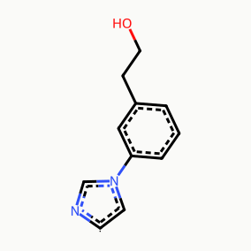 OCCc1cccc(-n2c[c]nc2)c1